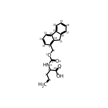 C=CCC(NC(=O)OCc1cccc2c1Cc1ccccc1-2)C(=O)O